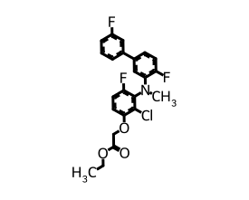 CCOC(=O)COc1ccc(F)c(N(C)c2cc(-c3cccc(F)c3)ccc2F)c1Cl